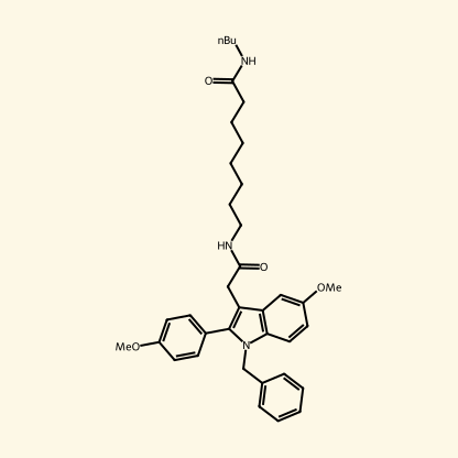 CCCCNC(=O)CCCCCCCNC(=O)Cc1c(-c2ccc(OC)cc2)n(Cc2ccccc2)c2ccc(OC)cc12